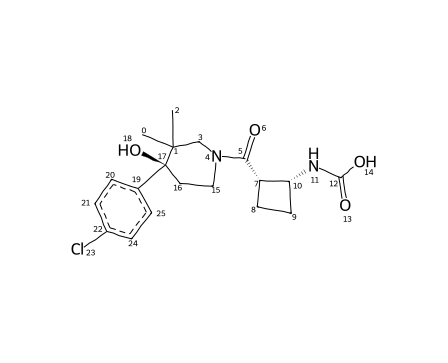 CC1(C)CN(C(=O)[C@H]2CC[C@H]2NC(=O)O)CC[C@]1(O)c1ccc(Cl)cc1